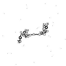 Cc1ncsc1-c1ccc(CNC(=O)[C@@H]2C[C@@H](O)CN2C(=O)[C@@H](NC(=O)COCCOCCCCOc2cc(Cl)c(N3C(=S)N(c4ccc(C#N)c(C(F)(F)F)c4F)C(=O)C3(C)C)cn2)C(C)(C)C)cc1